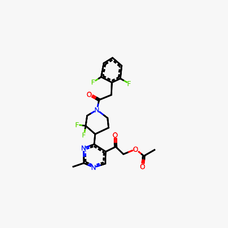 CC(=O)OCC(=O)c1cnc(C)nc1C1CCN(C(=O)Cc2c(F)cccc2F)CC1(F)F